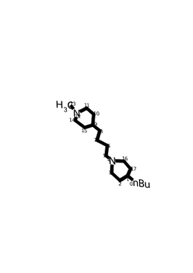 CCCCC1CCN(CCCCC2CCN(C)CC2)CC1